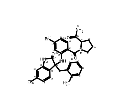 Cc1ccccc1CC1(Nc2cc(Br)ccc2C(=O)N2CCCC2C(N)=O)C(=O)Nc2cc(Cl)ccc21